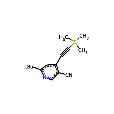 CC(C)(C)c1cc(C#CS(C)(C)C)c(C#N)cn1